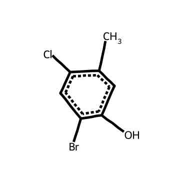 Cc1cc(O)c(Br)cc1Cl